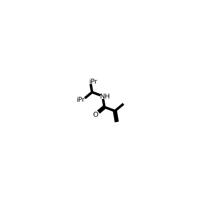 C=C(C)C(=O)NC(C(C)C)C(C)C